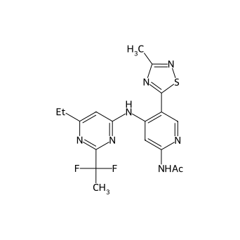 CCc1cc(Nc2cc(NC(C)=O)ncc2-c2nc(C)ns2)nc(C(C)(F)F)n1